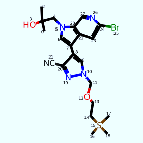 CC(C)(O)Cn1cc(-c2cn(COCCS(C)(C)C)nc2C#N)c2cc(Br)ncc21